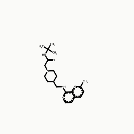 Cc1ccc2ccnc(NCC3CCN(CC(=O)NC(C)(C)C)CC3)c2n1